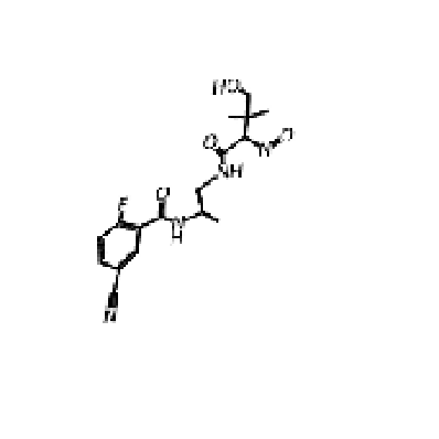 CC(CNC(=O)C(N=O)C(C)(C)CO)NC(=O)c1cc(C#N)ccc1F